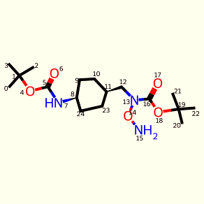 CC(C)(C)OC(=O)N[C@H]1CC[C@@H](CN(ON)C(=O)OC(C)(C)C)CC1